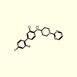 Fc1ccc(-c2ccc(NC3CCN(c4ncccn4)CC3)c(Cl)c2)c(F)c1